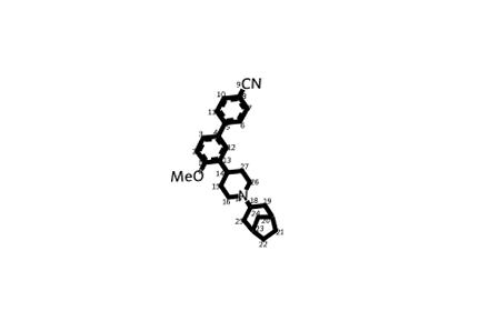 COc1ccc(-c2ccc(C#N)cc2)cc1C1CCN(C2CC3CCC(C3)C2)CC1